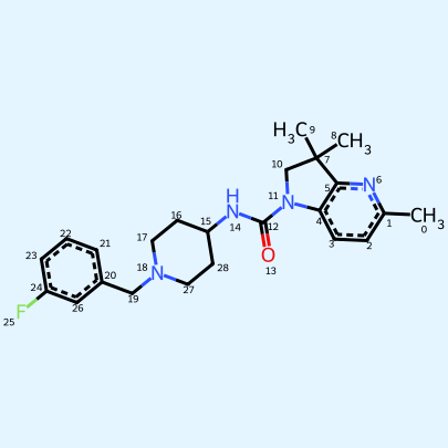 Cc1ccc2c(n1)C(C)(C)CN2C(=O)NC1CCN(Cc2cccc(F)c2)CC1